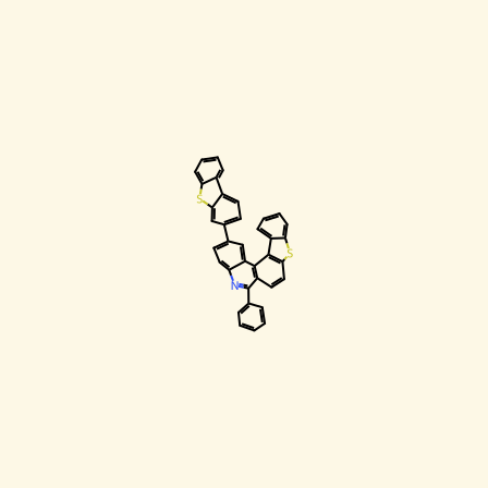 c1ccc(-c2nc3ccc(-c4ccc5c(c4)sc4ccccc45)cc3c3c2ccc2sc4ccccc4c23)cc1